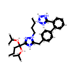 CCCCn1nc(C(CCC)(OC(C)C)OC(C)C)nc1Cc1ccc(-c2ccccc2-c2nnn[nH]2)cc1